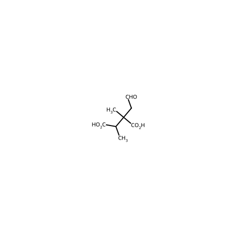 CC(C(=O)O)C(C)(CC=O)C(=O)O